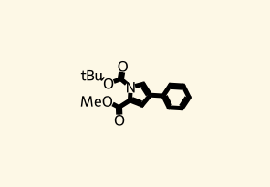 COC(=O)c1cc(-c2ccccc2)cn1C(=O)OC(C)(C)C